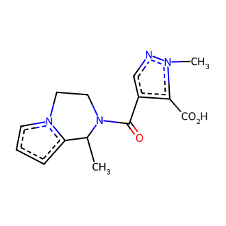 CC1c2cccn2CCN1C(=O)c1cnn(C)c1C(=O)O